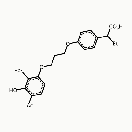 CCCc1c(OCCCOc2ccc(C(CC)C(=O)O)cc2)ccc(C(C)=O)c1O